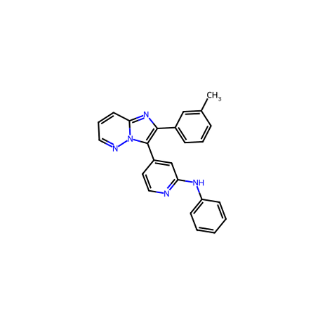 Cc1cccc(-c2nc3cccnn3c2-c2ccnc(Nc3ccccc3)c2)c1